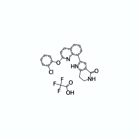 O=C(O)C(F)(F)F.O=C1NCCc2[nH]c(-c3cccc4ccc(Oc5ccccc5Cl)nc34)cc21